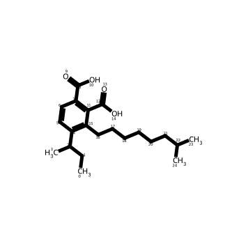 CCC(C)c1ccc(C(=O)O)c(C(=O)O)c1CCCCCCC(C)C